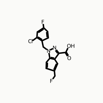 O=C(O)c1nn(Cc2ccc(F)cc2Cl)c2ccc(CF)cc12